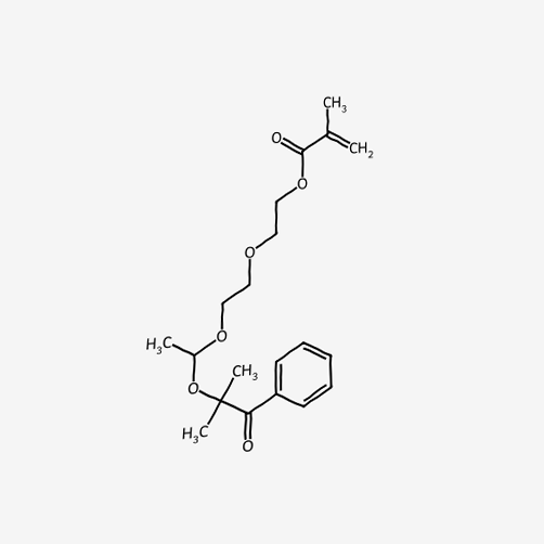 C=C(C)C(=O)OCCOCCOC(C)OC(C)(C)C(=O)c1ccccc1